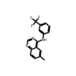 Cc1ccc2ncnc(Nc3cccc(C(F)(F)F)c3)c2c1